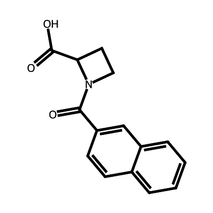 O=C(O)C1CCN1C(=O)c1ccc2ccccc2c1